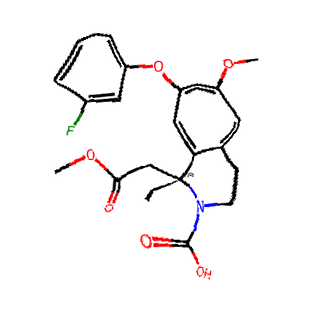 COC(=O)C[C@]1(C)c2cc(Oc3cccc(F)c3)c(OC)cc2CCN1C(=O)O